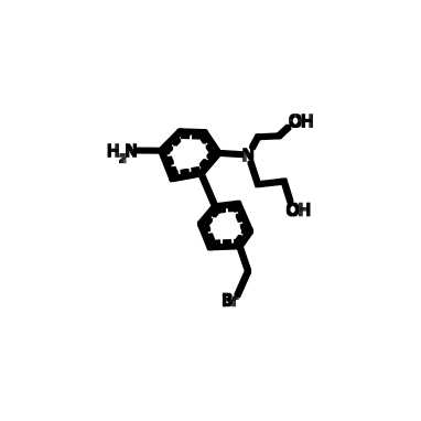 Nc1ccc(N(CCO)CCO)c(-c2ccc(CBr)cc2)c1